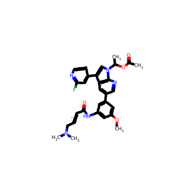 COc1cc(NC(=O)/C=C/CN(C)C)cc(-c2cnc3c(c2)c(-c2ccnc(F)c2)cn3C(C)OC(C)=O)c1